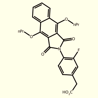 CCCOc1c2c(c(OCCC)c3ccccc13)C(=O)N(c1ccc(CC(=O)O)cc1F)C2=O